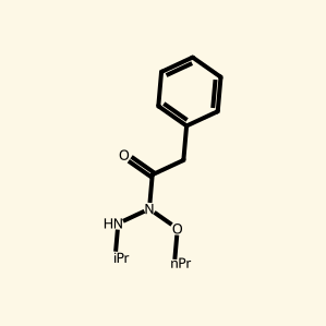 CCCON(NC(C)C)C(=O)Cc1ccccc1